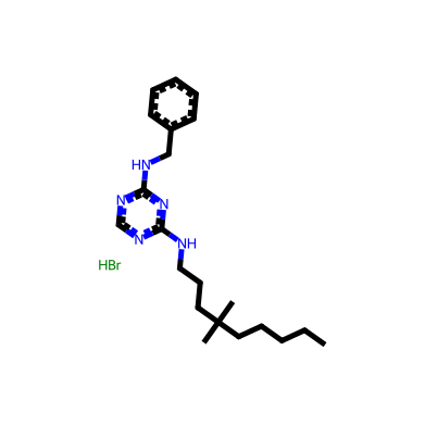 Br.CCCCCC(C)(C)CCCNc1ncnc(NCc2ccccc2)n1